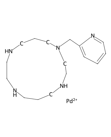 [Pd+2].c1ccc(CN2CCCNCCNCCCNCC2)nc1